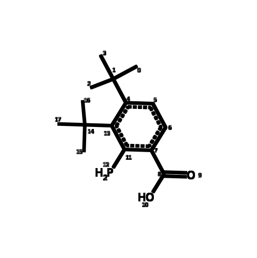 CC(C)(C)c1ccc(C(=O)O)c(P)c1C(C)(C)C